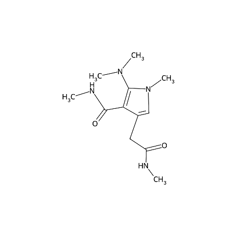 CNC(=O)Cc1cn(C)c(N(C)C)c1C(=O)NC